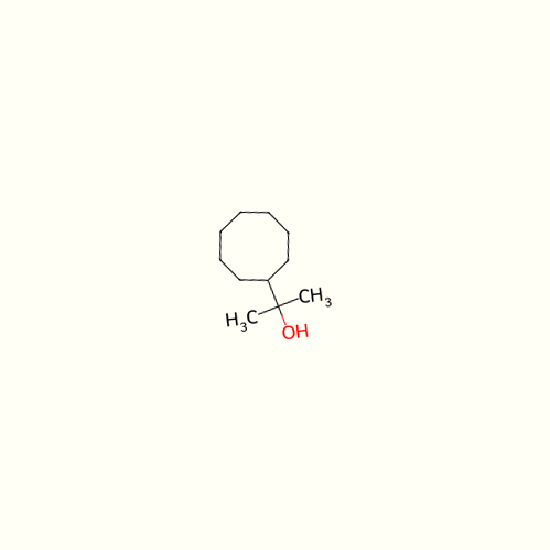 CC(C)(O)C1CCCCCCC1